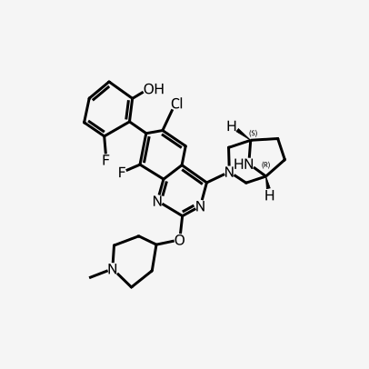 CN1CCC(Oc2nc(N3C[C@H]4CC[C@@H](C3)N4)c3cc(Cl)c(-c4c(O)cccc4F)c(F)c3n2)CC1